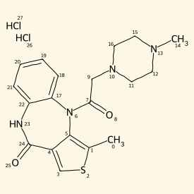 Cc1scc2c1N(C(=O)CN1CCN(C)CC1)c1ccccc1NC2=O.Cl.Cl